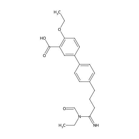 CCOc1ccc(-c2ccc(CCCC(=N)N(C=O)CC)cc2)cc1C(=O)O